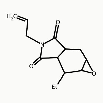 C=CCN1C(=O)C2CC3OC3C(CC)C2C1=O